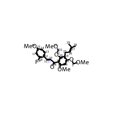 COCOc1cc(OC)c(C(=O)/C=C/c2ccc(OC)cc2F)c(OCOC)c1CC=C(C)C